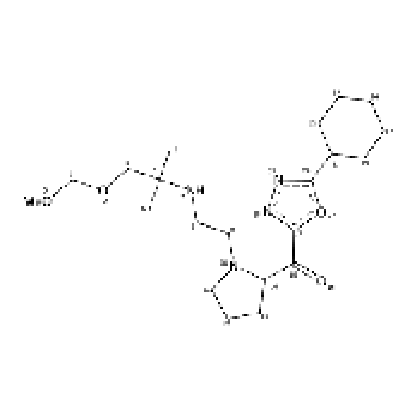 COCOCC(C)(C)NCCN1CCCC1C(=O)c1nnc(C2CCCCC2)o1